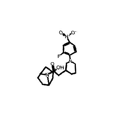 O=C(CC1CCCN(c2ccc([N+](=O)[O-])cc2F)C1)N1C2CCC1CC(O)C2